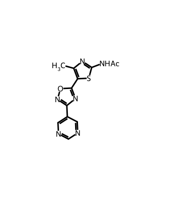 CC(=O)Nc1nc(C)c(-c2nc(-c3cncnc3)no2)s1